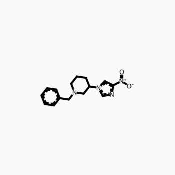 O=[N+]([O-])c1cn(C2CCCN(Cc3ccccc3)C2)cn1